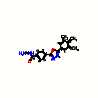 Cc1cc(-c2nnc(-c3ccc(C(=O)NN)cc3)o2)cc(C)c1C